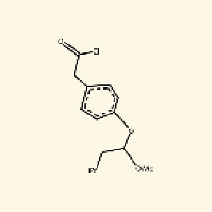 COC(CC(C)C)Oc1ccc(CC(=O)Cl)cc1